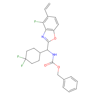 C=Cc1ccc2oc(C(NC(=O)OCc3ccccc3)C3CCC(F)(F)CC3)nc2c1F